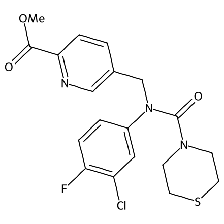 COC(=O)c1ccc(CN(C(=O)N2CCSCC2)c2ccc(F)c(Cl)c2)cn1